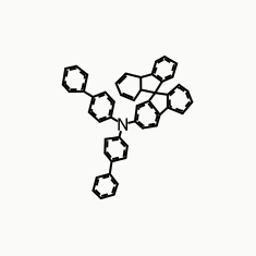 C1=CC2c3ccccc3C3(c4ccccc4-c4ccc(N(c5ccc(-c6ccccc6)cc5)c5ccc(-c6ccccc6)cc5)cc43)C2C=C1